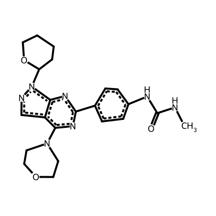 CNC(=O)Nc1ccc(-c2nc(N3CCOCC3)c3cnn(C4CCCCO4)c3n2)cc1